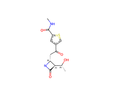 CNC(=O)c1cc(C(=O)C[C@H]2[N]C(=O)[C@@H]2[C@@H](C)O)cs1